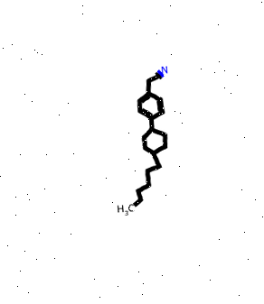 CCCCCCC1CCC(c2ccc(CC#N)cc2)CC1